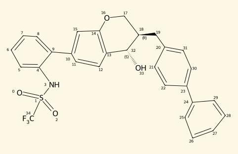 O=S(=O)(Nc1ccccc1-c1ccc2c(c1)OC[C@@H](Cc1ccc(-c3ccccc3)cc1)[C@@H]2O)C(F)(F)F